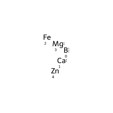 [B].[Ca].[Fe].[Mg].[Zn]